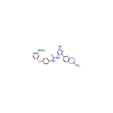 CC(=O)Nc1cc(Oc2ccc(NC(=O)Nc3cn(C(C)C)nc3-c3ccc4c(c3)CCN(C)C4)cc2)ccn1